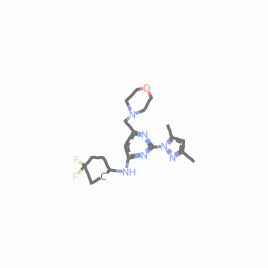 Cc1cc(C)n(-c2nc(CN3CCOCC3)cc(NC3CCC(F)(F)CC3)n2)n1